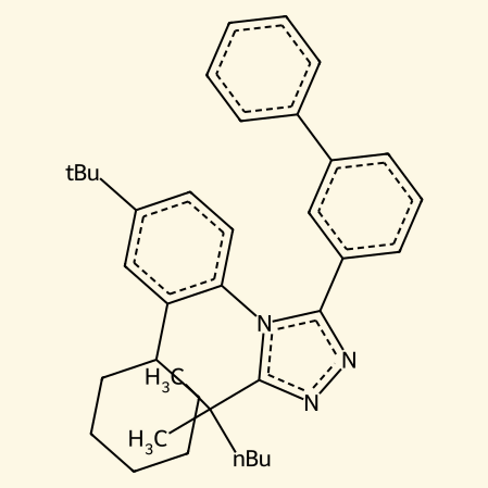 CCCCC(C)(C)c1nnc(-c2cccc(-c3ccccc3)c2)n1-c1ccc(C(C)(C)C)cc1C1CCCCC1